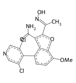 COc1ccc(-c2c(Cl)cncc2Cl)c2c(C(N)=O)c(C(C)=NO)oc12